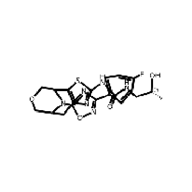 C[C@@H](O)CNC(=O)Nc1nc2c(s1)C1COCC(C2)N1c1nc(-c2ccc(F)cc2)no1